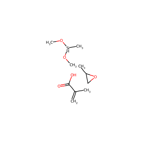 C=C(C)C(=O)O.CC1CO1.CO[SiH](C)OC